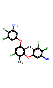 Nc1cc(Oc2cc(F)c(C(F)(F)F)c(Oc3cc(N)c(F)c(F)c3)c2C(F)(F)F)cc(F)c1F